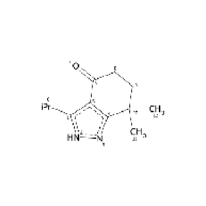 CC(C)c1[nH]nc2c1C(=O)CCC2(C)C